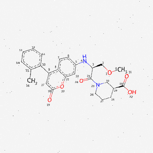 COC[C@H](Nc1ccc2c(-c3ccccc3C)cc(=O)oc2c1)C(=O)N1CCC[C@H](C(=O)O)C1